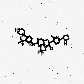 Cc1nc(C2CCCN2)ccc1-c1cc2cnc(Nc3ccc(N4CCNCC4)c(C(F)(F)F)c3)nc2n(CC(F)(F)F)c1=O